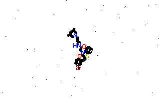 CC1CC(C)CN(CCCNC(=O)CN2C(=O)/C(=C\c3cccc(Br)c3)Sc3ccccc32)C1